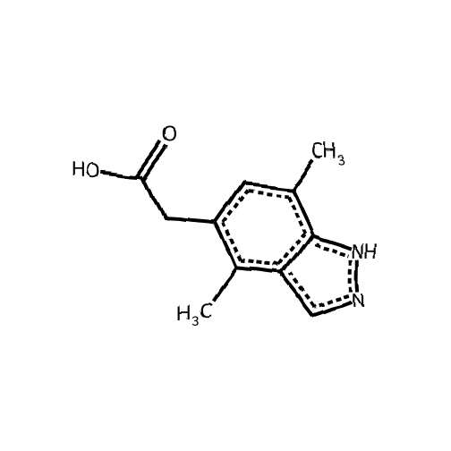 Cc1c(CC(=O)O)cc(C)c2[nH]ncc12